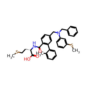 CSCC[C@H](NC(=O)c1ccc(CN(Cc2ccccc2)c2cccc(SC)c2)cc1-c1ccccc1C)C(=O)O